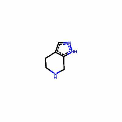 c1n[nH]c2c1CCNC2